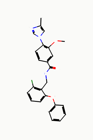 COc1cc(C(=O)NCc2c(Cl)cccc2Oc2ccccc2)ccc1-n1cnc(C)c1